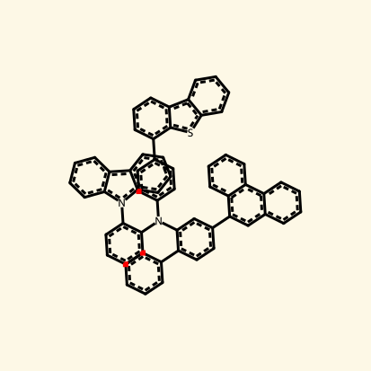 c1ccc(-c2ccc(-c3cc4ccccc4c4ccccc34)cc2N(c2ccc(-c3cccc4c3sc3ccccc34)cc2)c2ccccc2-n2c3ccccc3c3ccccc32)cc1